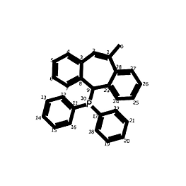 CC1=Cc2ccccc2C(P(c2ccccc2)c2ccccc2)c2ccccc21